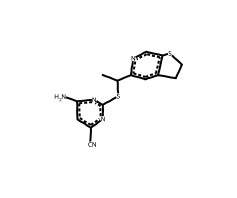 CC(Sc1nc(N)cc(C#N)n1)c1cc2c(cn1)SCC2